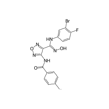 [CH2]c1ccc(C(=O)Nc2nonc2C(=NO)Nc2ccc(F)c(Br)c2)cc1